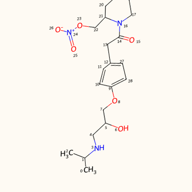 CC(C)NCC(O)COc1ccc(CC(=O)N2CCCCC2CO[N+](=O)[O-])cc1